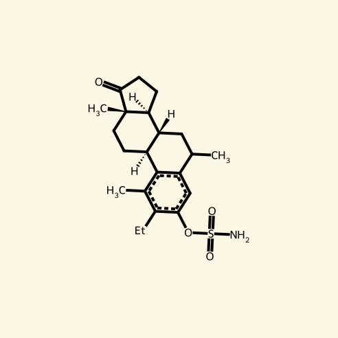 CCc1c(OS(N)(=O)=O)cc2c(c1C)[C@H]1CC[C@]3(C)C(=O)CC[C@H]3[C@@H]1CC2C